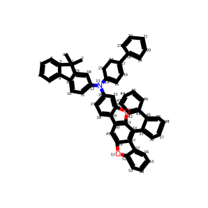 CC1(C)c2ccccc2-c2ccc(N(C3=CC=C(c4ccccc4)CC3)c3ccc4c(c3)oc3c(-c5ccccc5-c5ccccc5)c5c(cc34)oc3ccccc35)cc21